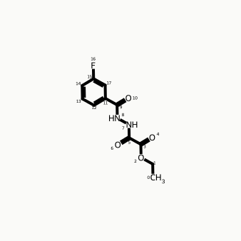 CCOC(=O)C(=O)NNC(=O)c1cccc(F)c1